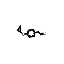 O=CCc1ccc(OC2CC2)cc1